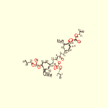 C=CCOC(=O)O/C(=C\C(=O)CCc1ccc(OC(=O)OCC=C)c(OC)c1)CCc1ccc(OC(=O)OCC=C)c(OC)c1